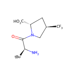 CC(C)(C)[C@H](N)C(=O)N1C[C@H](C(F)(F)F)C[C@H]1C(=O)O